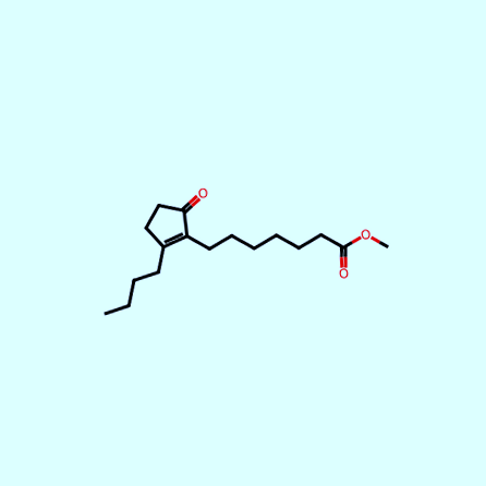 CCCCC1=C(CCCCCCC(=O)OC)C(=O)CC1